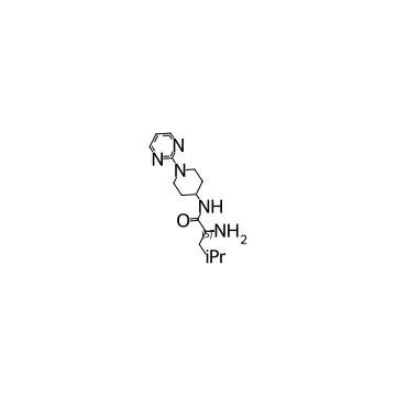 CC(C)C[C@H](N)C(=O)NC1CCN(c2ncccn2)CC1